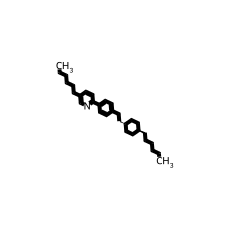 CCCCCCc1ccc(-c2ccc(CC[C@H]3CC[C@H](CCCCCC)CC3)cc2)nc1